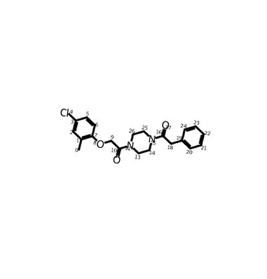 Cc1cc(Cl)ccc1OCC(=O)N1CCN(C(=O)Cc2ccccc2)CC1